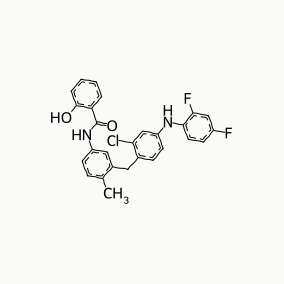 Cc1ccc(NC(=O)c2ccccc2O)cc1Cc1ccc(Nc2ccc(F)cc2F)cc1Cl